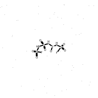 O=S(=O)(F)N[S+]([O-])NS(=O)(=O)NS(=O)(=O)F